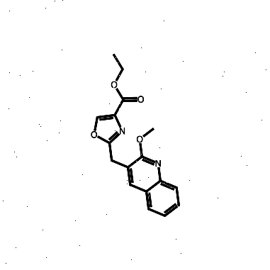 CCOC(=O)c1coc(Cc2cc3ccccc3nc2OC)n1